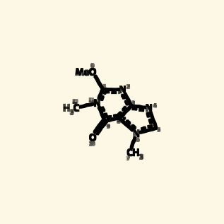 COc1nc2ncn(C)c2c(=O)n1C